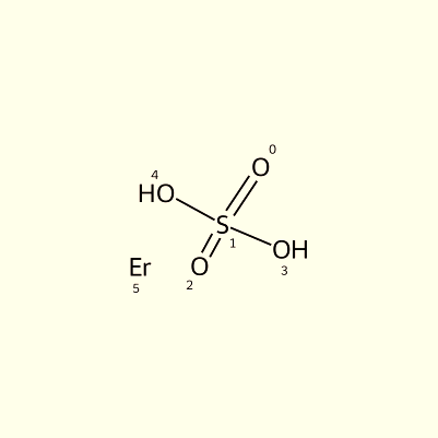 O=S(=O)(O)O.[Er]